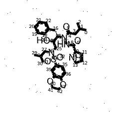 CC(C)CC(=O)N(NC(=O)C1CCCN1)[C@@H](Cc1ccccc1)[C@H](O)CN(CC(C)C)S(=O)(=O)c1ccc2c(c1)OCCO2